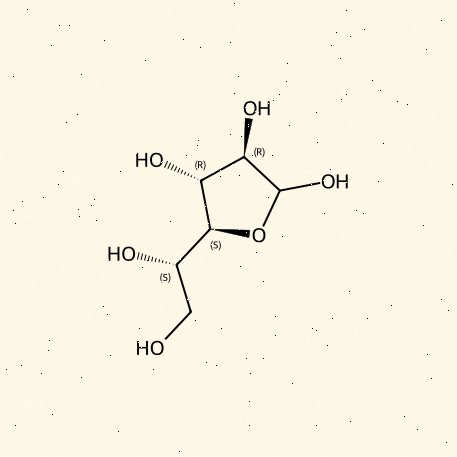 OC[C@H](O)[C@@H]1OC(O)[C@H](O)[C@H]1O